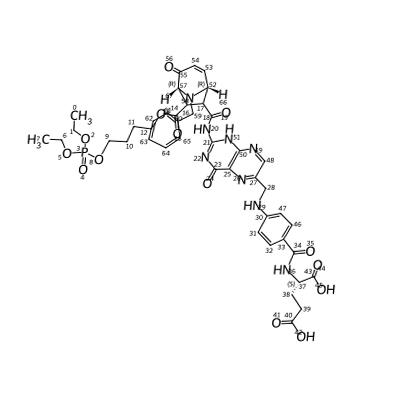 CCOP(=O)(OCC)OCCCCOC(=O)C1C(C(=O)Nc2nc(=O)c3nc(CNc4ccc(C(=O)N[C@@H](CCC(=O)O)C(=O)O)cc4)cnc3[nH]2)[C@H]2C=CC(=O)[C@@H]1N2Cc1ccccc1